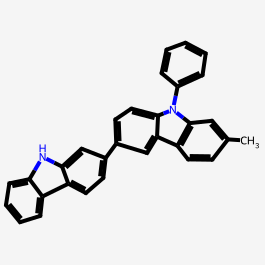 Cc1ccc2c3cc(-c4ccc5c(c4)[nH]c4ccccc45)ccc3n(-c3ccccc3)c2c1